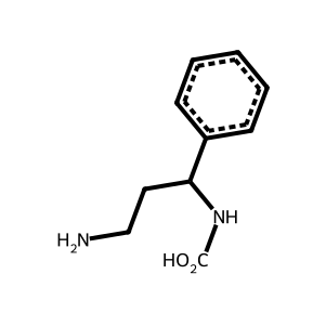 NCCC(NC(=O)O)c1ccccc1